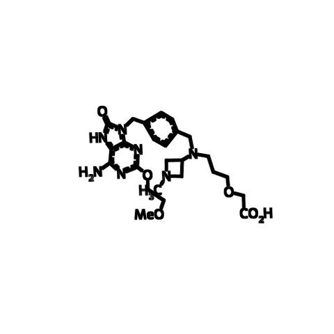 COCCOc1nc(N)c2[nH]c(=O)n(Cc3ccc(CN(CCCOCC(=O)O)C4CN(C)C4)cc3)c2n1